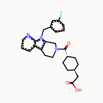 O=C(O)C[C@H]1CC[C@H](C(=O)N2CCc3c(n(Cc4cccc(F)c4)c4ncccc34)C2)CC1